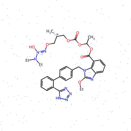 CCOc1nc2cccc(C(=O)OC(C)OC(=O)OC[C@@H](C)CO/N=[N+](\O)N(CC)CC)c2n1Cc1ccc(-c2ccccc2-c2nnn[nH]2)cc1